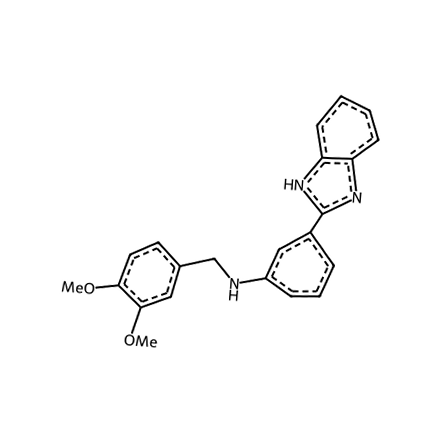 COc1ccc(CNc2cccc(-c3nc4ccccc4[nH]3)c2)cc1OC